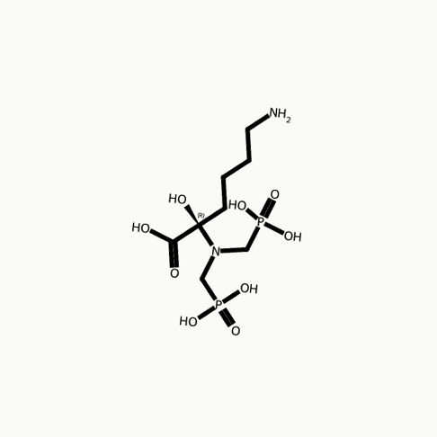 NCCCC[C@@](O)(C(=O)O)N(CP(=O)(O)O)CP(=O)(O)O